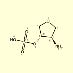 N[C@@H]1COC[C@H]1OS(=O)(=O)O